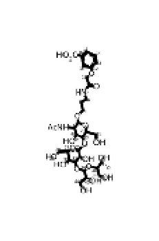 CC(=O)NC1C(OCCCNC(=O)COc2cccc(C(=O)O)c2)OC(CO)C(OC2OC(CO)C(O)C(OC(OC(CO)[C@@H](C)O)[C@@H](O)CO)C2O)C1O